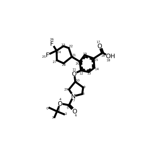 CC(C)(C)OC(=O)N1CCC(Oc2ccc(C(=O)O)cc2C2CCC(F)(F)CC2)C1